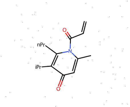 C=CC(=O)n1c(C)cc(=O)c(C(C)C)c1CCC